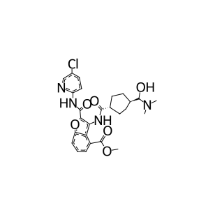 COC(=O)c1cccc2oc(C(=O)Nc3ccc(Cl)cn3)c(NC(=O)[C@H]3CC[C@H](C(O)N(C)C)CC3)c12